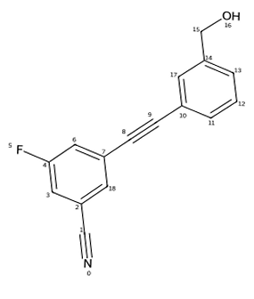 N#Cc1cc(F)cc(C#Cc2cccc(CO)c2)c1